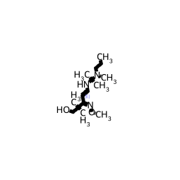 CCCN(C)C(C)(C)N/C=C/C(=NOC)C(C)(C)CO